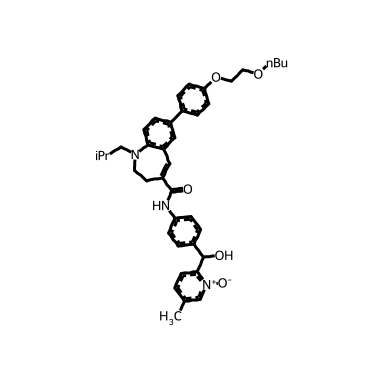 CCCCOCCOc1ccc(-c2ccc3c(c2)C=C(C(=O)Nc2ccc(C(O)c4ccc(C)c[n+]4[O-])cc2)CCN3CC(C)C)cc1